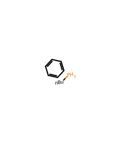 CCCCP.c1ccccc1